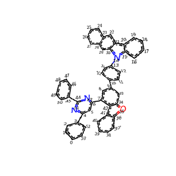 c1ccc(-c2cc(-c3cc(-c4ccc(-n5c6ccccc6c6cc7ccccc7cc65)cc4)cc4oc5ccccc5c34)nc(-c3ccccc3)n2)cc1